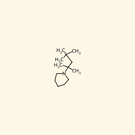 CC(C)(C)CC(C)(C)N1CCCCC1